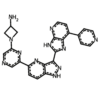 NC1CN(c2cncc(-c3ccc4[nH]nc(-c5nc6c(-c7ccncc7)ccnc6[nH]5)c4n3)n2)C1